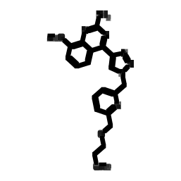 COCCOCc1cccc(Cn2cc(-c3nc(N)nc4c(OC)cccc34)nn2)n1